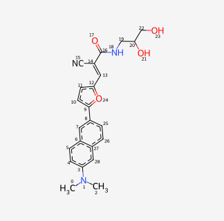 CN(C)c1ccc2cc(-c3ccc(/C=C(\C#N)C(=O)NCC(O)CO)o3)ccc2c1